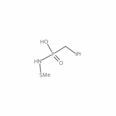 CSNP(=O)(O)CC(C)C